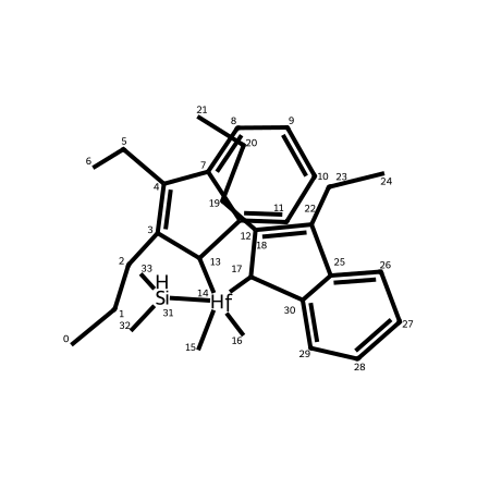 CCCC1=C(CC)c2ccccc2[CH]1[Hf]([CH3])([CH3])([CH]1C(CCC)=C(CC)c2ccccc21)[SiH](C)C